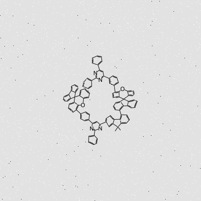 CC1(C)c2cc(-c3cc(-c4ccc(-c5cccc6c5Oc5ccccc5C65c6ccccc6-c6ccccc65)cc4)nc(-c4ccccc4)n3)ccc2-c2c(-c3cccc4c3-c3ccccc3C43c4ccccc4Oc4c(-c5cccc(-c6cc(-c7ccccc7)nc(-c7ccccc7)n6)c5)cccc43)cccc21